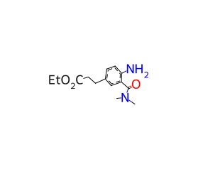 CCOC(=O)CCc1ccc(N)c(C(=O)N(C)C)c1